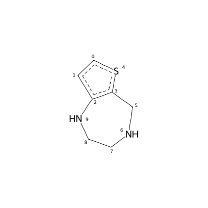 c1cc2c(s1)CNCCN2